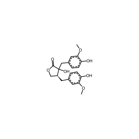 COc1cc(C[C@H]2COC(=O)C2(O)Cc2ccc(O)c(OC)c2)ccc1O